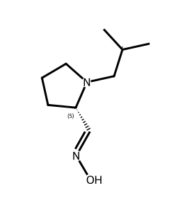 C[C](C)CN1CCC[C@H]1C=NO